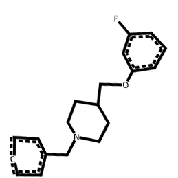 Fc1cccc(OCC2CCN(Cc3ccccc3)CC2)c1